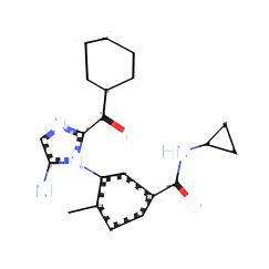 Cc1ccc(C(=O)NC2CC2)cc1-n1c(N)cnc1C(=O)C1CCCCC1